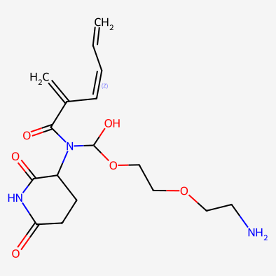 C=C/C=C\C(=C)C(=O)N(C(O)OCCOCCN)C1CCC(=O)NC1=O